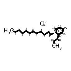 CCCCCCCCCCCC[n+]1ccccc1CCC.[Cl-]